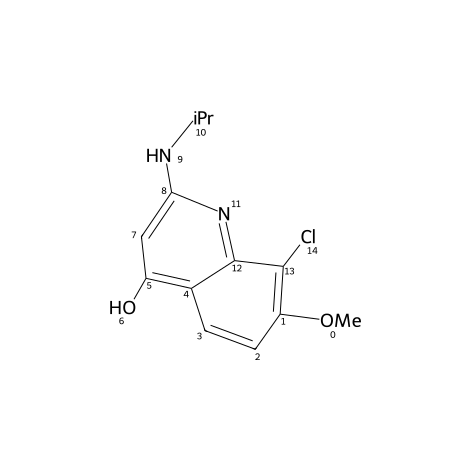 COc1ccc2c(O)cc(NC(C)C)nc2c1Cl